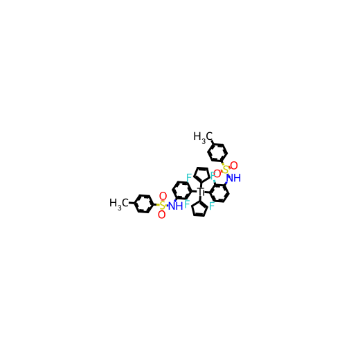 Cc1ccc(S(=O)(=O)Nc2ccc(F)[c]([Ti]([C]3=CC=CC3)([C]3=CC=CC3)[c]3c(F)ccc(NS(=O)(=O)c4ccc(C)cc4)c3F)c2F)cc1